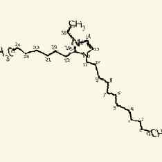 CCCCCCCCCCCCN1C=CN(CC)C1CCCCCCC